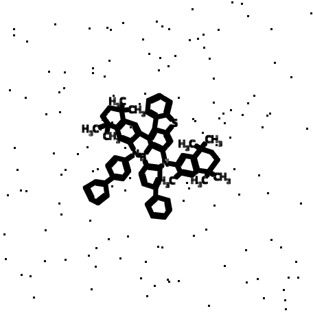 Cc1cc2c(cc1N1c3cc(-c4ccccc4)ccc3B3c4c1cc1sc5ccccc5c1c4-c1cc4c(cc1N3c1ccc(-c3ccccc3)cc1)C(C)(C)CCC4(C)C)C(C)(C)CCC2(C)C